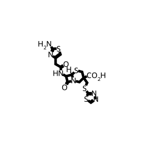 Nc1nc(CC(=O)NC2C(=O)N3CC(CSc4nncs4)(C(=O)O)CS[C@H]23)cs1